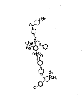 CC1(C)CCC(c2ccc(Cl)cc2)=C(CN2CCN(c3ccc(C(=O)NS(=O)(=O)c4ccc(N[C@H](CCN5CCN(C(=O)C6CCC7(CC6)CNC7)CC5)CSc5ccccc5)c(S(=O)(=O)C(F)(F)F)c4)cc3)CC2)C1